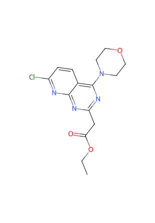 CCOC(=O)Cc1nc(N2CCOCC2)c2ccc(Cl)nc2n1